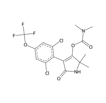 CN(C)C(=O)OC1=C(c2c(Cl)cc(OC(F)(F)F)cc2Cl)C(=O)NC1(C)C